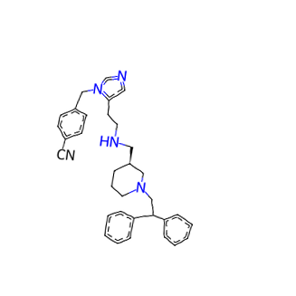 N#Cc1ccc(Cn2cncc2CCNC[C@@H]2CCCN(CC(c3ccccc3)c3ccccc3)C2)cc1